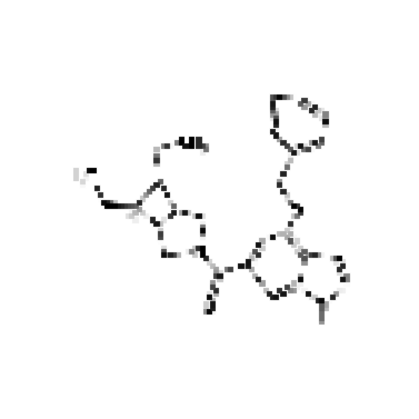 CCC1C2CN(C(=O)c3cc(OCc4ccccc4)c4cc[nH]c4c3)CC2[C@H]1CC